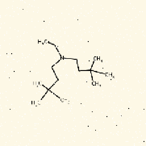 CCN(CCC(C)(C)C)CCC(C)(C)C